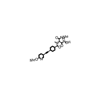 CNC(=O)C(C(=O)NO)N(C)C(=O)c1ccc(C#Cc2ccc(OC)nc2)cc1